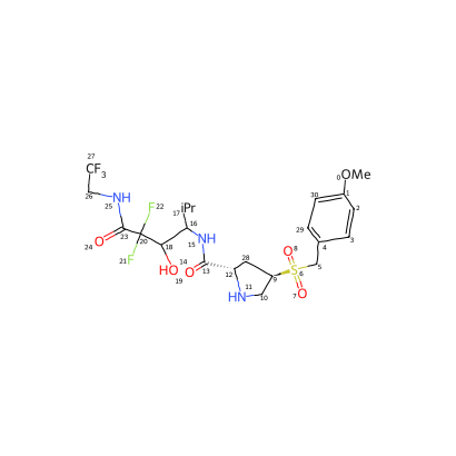 COc1ccc(CS(=O)(=O)[C@H]2CN[C@H](C(=O)NC(C(C)C)C(O)C(F)(F)C(=O)NCC(F)(F)F)C2)cc1